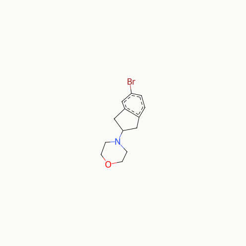 Brc1ccc2c(c1)CC(N1CCOCC1)C2